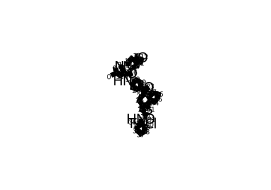 Cc1cnc(N2CCC3(CC2)COC3)c(C(=O)Nc2ccc(C(=O)N3CCc4cc(C(=O)Nc5c(F)cccc5Cl)sc4-c4ccccc43)cc2)c1